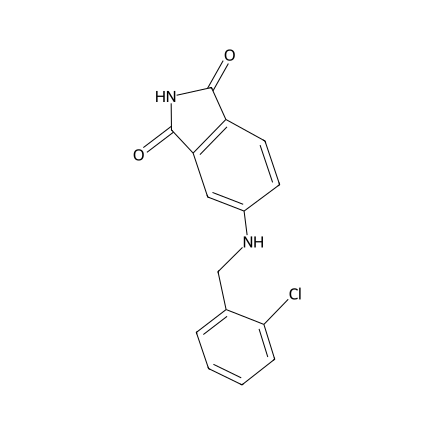 O=C1NC(=O)c2cc(NCc3ccccc3Cl)ccc21